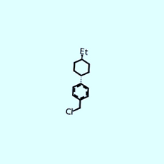 CC[C@H]1CC[C@H](c2ccc(CCl)cc2)CC1